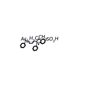 CC(=O)N(/C=C/C=C/C1=[N+](c2ccccc2)c2ccc(S(=O)(=O)O)cc2C1(C)C)c1ccccc1